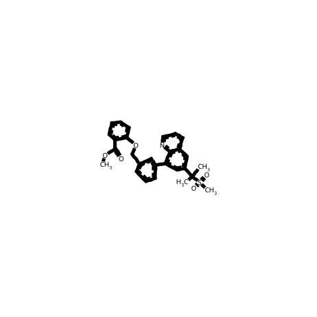 COC(=O)c1ccccc1OCc1cccc(-c2cc(C(C)(C)S(C)(=O)=O)cc3cccnc23)c1